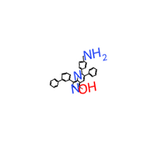 NCc1ccc(-c2nc3c(-c4cccc(-c5ccccc5)c4)cnc(O)c3cc2-c2ccccc2)cc1